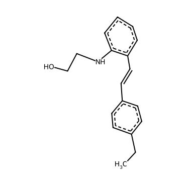 CCc1ccc(C=Cc2ccccc2NCCO)cc1